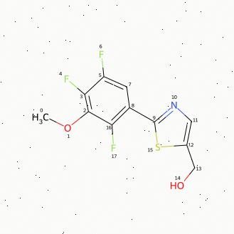 COc1c(F)c(F)cc(-c2ncc(CO)s2)c1F